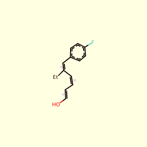 CCC(/C=C\C=C\O)=C/c1ccc(F)cc1